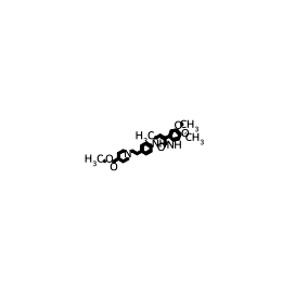 CCOC(=O)C1CCN(CCc2ccc(NC(C)C=C3C(=O)Nc4cc(OC)c(OC)cc43)cc2)CC1